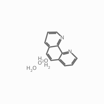 O.O.O.c1cnc2c(c1)ccc1cccnc12